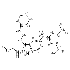 COCNc1nc2ccc(C(=O)N(CCC(C)C)CCC(C)C)cc2n1CCCN1CCCCC1